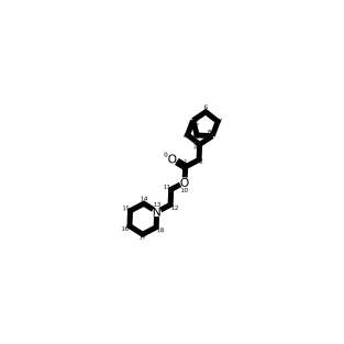 O=C(CC1CC2CCC1C2)OCCN1CCCCC1